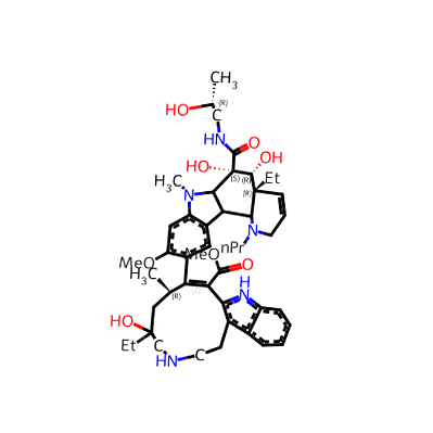 CCCN1CC=C[C@]2(CC)C1C1c3cc(/C4=C(\C(=O)OC)c5[nH]c6ccccc6c5CCNCC(O)(CC)C[C@H]4C)c(OC)cc3N(C)C1[C@@](O)(C(=O)NC[C@@H](C)O)[C@@H]2O